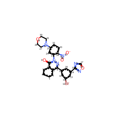 O=c1c2ccccc2c(-c2cc(Br)cc(-c3ncon3)c2)nn1-c1cc(N2CCOCC2)ccc1[N+](=O)[O-]